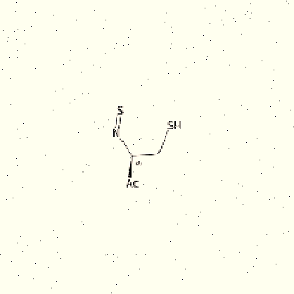 CC(=O)[C@H](CS)N=S